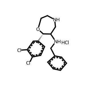 Cl.Clc1ccc([C@@H]2OCCNCC2NCc2ccccc2)cc1Cl